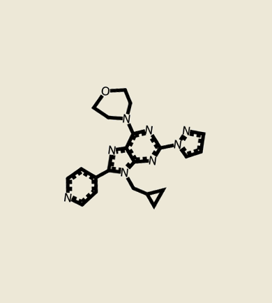 c1cnn(-c2nc(N3CCOCC3)c3nc(-c4ccncc4)n(CC4CC4)c3n2)c1